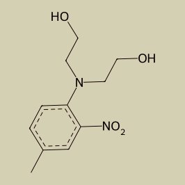 Cc1ccc(N(CCO)CCO)c([N+](=O)[O-])c1